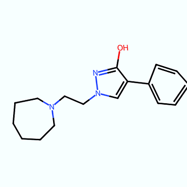 Oc1nn(CCN2CCCCCC2)cc1-c1ccccc1